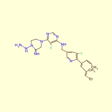 C\C=C/C(=C\C(C)=C\CC)c1ncc(CNc2ncnc(N3CCN(NN)C(=N)C3)c2F)cc1F